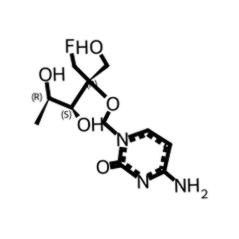 C[C@@H](O)[C@H](O)[C@](CO)(CF)OCn1ccc(N)nc1=O